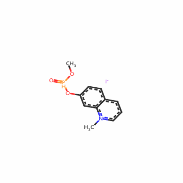 CO[PH](=O)Oc1ccc2ccc[n+](C)c2c1.[I-]